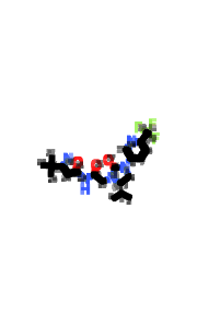 CC(C)[C@H]1CN(c2ccc(C(F)(F)F)nc2)C(=O)N1CC(=O)Nc1cc(C(C)(C)C)no1